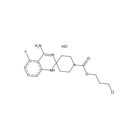 Cl.NC1=NC2(CCN(C(=O)OCCCCl)CC2)Nc2cccc(F)c21